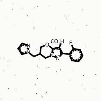 O=C(O)c1c(-c2ccccc2F)nn2c1OCC(Cn1cccn1)C2